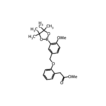 COC(=O)Cc1ccccc1OCc1ccc(OC)c(B2OC(C)(C)C(C)(C)O2)c1